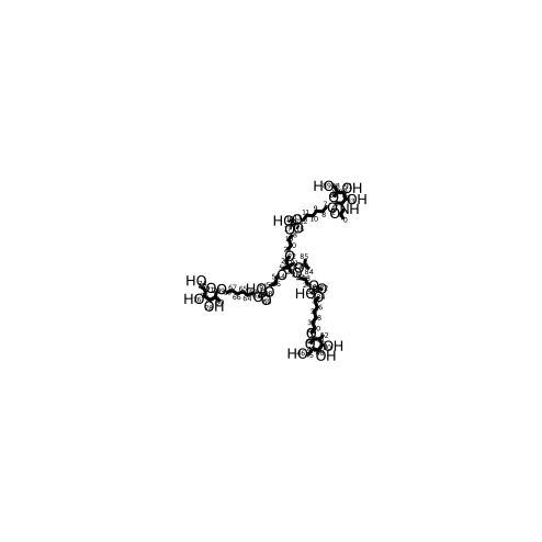 CC(=O)NC1[C@H](OCCCCCCOP(=O)(O)OCCCCOCC(COCCCOP(=O)(O)OCCCCCCO[C@@H]2OC(CO)[C@H](O)[C@H](O)C2C)(COCCCOP(=O)(O)OCCCCCCO[C@@H]2OC(CO)[C@H](O)[C@H](O)C2C)COC(C)C)OC(CO)[C@H](O)[C@@H]1O